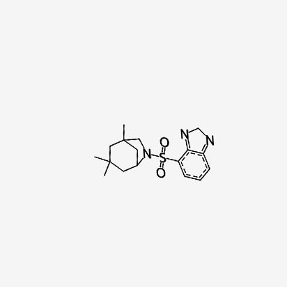 CC1(C)CC2CC(C)(CN2S(=O)(=O)c2cccc3c2=NCN=3)C1